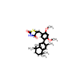 COc1cc(OC)c(-c2cc3c(cc2C)C(C)(C)CCC3(C)C)cc1/C=C1/SC(=O)NC1=O